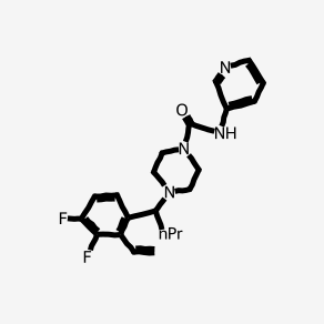 C=Cc1c(C(CCC)N2CCN(C(=O)Nc3cccnc3)CC2)ccc(F)c1F